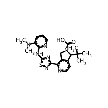 CN(C)c1cccnc1Nc1nc(-c2nccc3c2CN(C(=O)O)C3C(C)(C)C)ns1